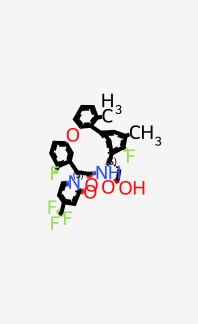 Cc1cc2cc(c1F)[C@H](CC(=O)O)NC(=O)[C@@H](n1ccc(C(F)(F)F)cc1=O)c1cc(ccc1F)Oc1cccc(C)c1-2